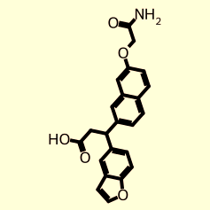 NC(=O)COc1ccc2ccc(C(CC(=O)O)c3ccc4occc4c3)cc2c1